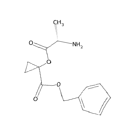 C[C@H](N)C(=O)OC1(C(=O)OCc2ccccc2)CC1